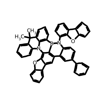 CC1(C)c2ccccc2N2c3c(cccc31)B1c3c(cc4c(oc5ccccc54)c32)-c2cc(-c3ccccc3)ccc2N1c1cccc2c1oc1ccccc12